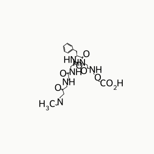 C/C=N\CCC(=O)CNCC(=O)NCC(=O)N[C@@H](Cc1ccccc1)C(=O)NCC(=O)NCOCC(=O)O